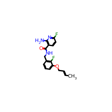 CC=CCOc1cccc(CNC(=O)c2ccc(F)nc2N)c1F